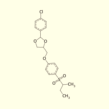 CCC(C)S(=O)(=O)c1ccc(OCC2COC(c3ccc(Cl)cc3)O2)cc1